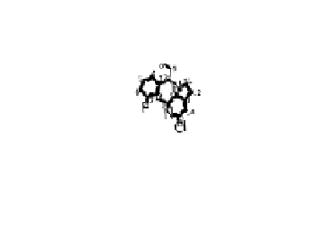 CC[C@@H](c1cccc(F)c1)n1ccc2cc(Cl)nc(C)c21